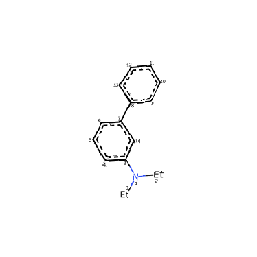 CCN(CC)c1cccc(-c2ccccc2)c1